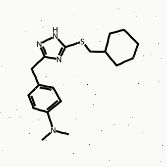 CN(C)c1ccc(Cc2n[nH]c(SCC3CCCCC3)n2)cc1